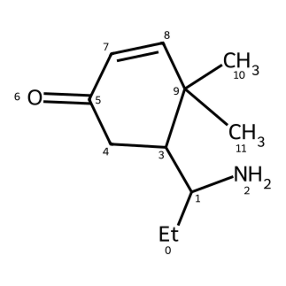 CCC(N)C1CC(=O)C=CC1(C)C